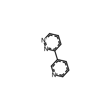 c1cncc(-c2cccnn2)c1